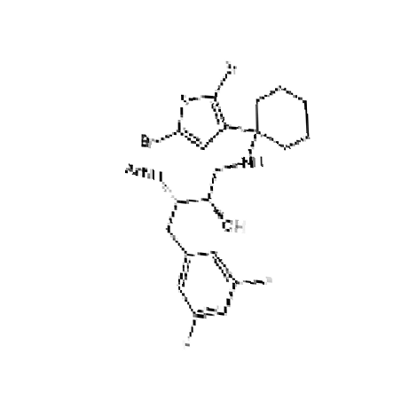 CC(=O)N[C@@H](Cc1cc(F)cc(F)c1)[C@H](O)CNC1(c2cc(Br)sc2Br)CCCCC1